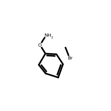 CBr.NOc1ccccc1